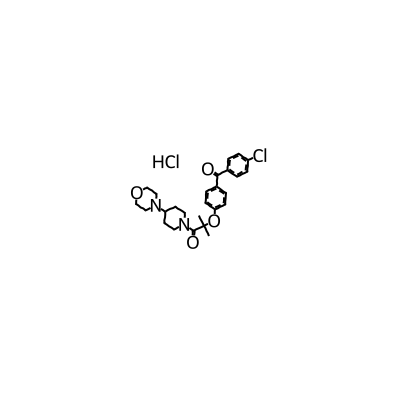 CC(C)(Oc1ccc(C(=O)c2ccc(Cl)cc2)cc1)C(=O)N1CCC(N2CCOCC2)CC1.Cl